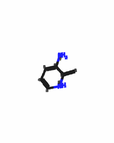 C=C1NC=CC=C1N